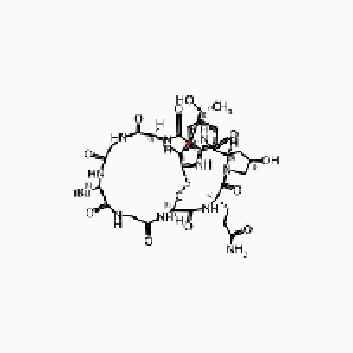 CC[C@H](C)C1NC(=O)CNC(=O)[C@@H]2Cc3c([nH]c4ccccc34)SC[C@H](NC(=O)CNC1=O)C(=O)N[C@@H](CCC(N)=O)C(=O)N1C[C@H](O)C[C@H]1C(=O)N[C@@H]([C@@H](C)O)C(=O)N2